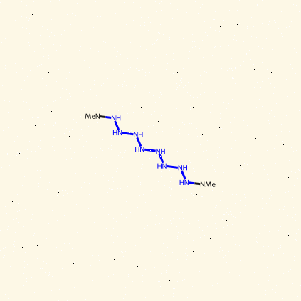 CNNNNNNNNNNC